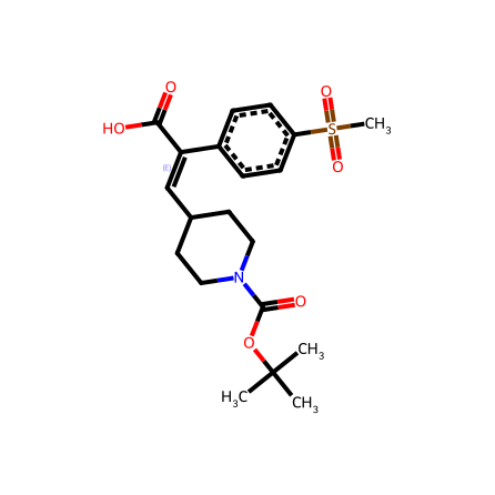 CC(C)(C)OC(=O)N1CCC(/C=C(/C(=O)O)c2ccc(S(C)(=O)=O)cc2)CC1